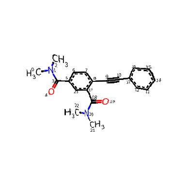 CN(C)C(=O)c1ccc(C#Cc2ccccc2)c(C(=O)N(C)C)c1